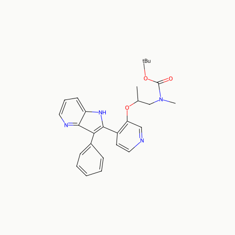 CC(CN(C)C(=O)OC(C)(C)C)Oc1cnccc1-c1[nH]c2cccnc2c1-c1ccccc1